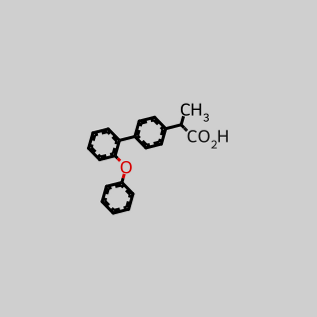 CC(C(=O)O)c1ccc(-c2ccccc2Oc2ccccc2)cc1